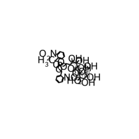 CC(OP(=O)(OCc1ccccc1[N+](=O)[O-])OCC1O[C@H](O[C@H]2O[C@H](CO)[C@@H](O)C(O)C2O)[C@@H](O)C(O)[C@@H]1O)c1ccccc1[N+](=O)[O-]